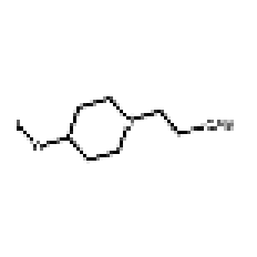 COCCN1CCC(OI)CC1